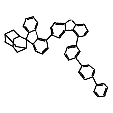 c1ccc(-c2ccc(-c3cccc(-c4cccc5sc6ccc(-c7cccc8c7-c7ccccc7C87C8CC9CC(C8)CC7C9)cc6c45)c3)cc2)cc1